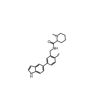 CN1CC[CH]CC1C(=O)NCc1cc(-c2ccc3[nH]ccc3c2)ccc1F